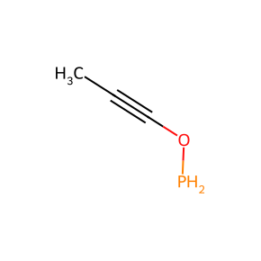 CC#COP